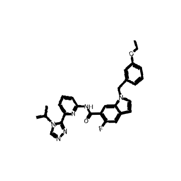 CCOc1cccc(Cn2ccc3cc(F)c(C(=O)Nc4cccc(-c5nncn5C(C)C)n4)cc32)c1